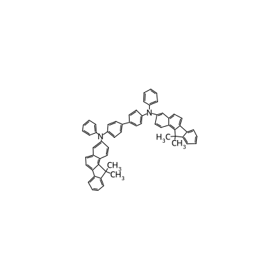 CC1(C)c2ccccc2-c2ccc3cc(N(c4ccccc4)c4ccc(-c5ccc(N(c6ccccc6)c6ccc7c8c(ccc7c6)-c6ccccc6C8(C)C)cc5)cc4)ccc3c21